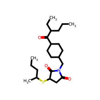 CCCC(C)SC1CC(=O)N(CC2CCC(C(=O)C(CC)CCC)CC2)C1=O